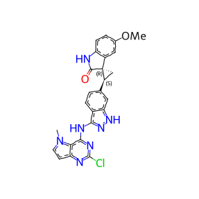 COc1ccc2c(c1)[C@]1(C[C@H]1c1ccc3c(Nc4nc(Cl)nc5ccn(C)c45)n[nH]c3c1)C(=O)N2